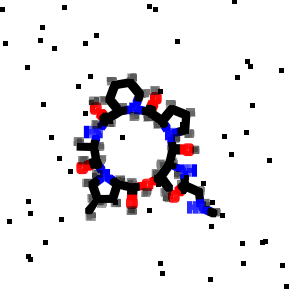 CNCC(=O)N[C@@H]1C(=O)N2CCCC2C(=O)N2CCCCC2C(=O)NC(C)C(=O)N2C[C@H](C)CC2C(=O)OC1C